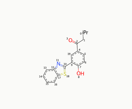 CC(C)CC(=O)c1ccc(O)c(-c2nc3ccccc3s2)c1